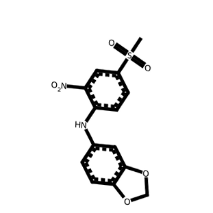 CS(=O)(=O)c1ccc(Nc2ccc3c(c2)OCO3)c([N+](=O)[O-])c1